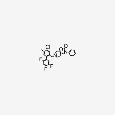 Cc1cc(-c2cc(F)c(F)cc2F)c(CN2CCC3(CC2)CN(c2ccccc2)C(=O)O3)cc1Cl